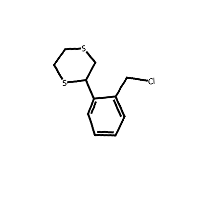 ClCc1ccccc1C1CSCCS1